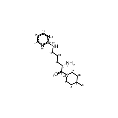 CC1CCN(C(=O)[C@@H](N)CCCNc2ncccn2)CC1